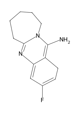 NC1=C2CC=C(F)C=C2N=C2CCCCCN21